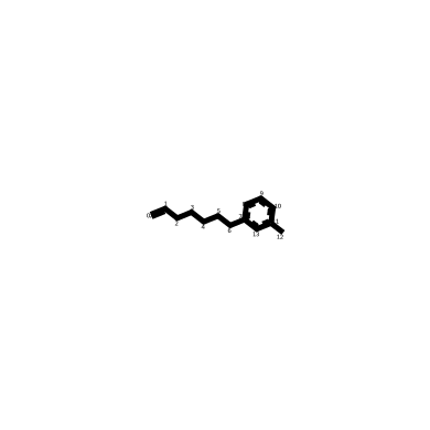 [CH]=CCCCCCc1cccc(C)c1